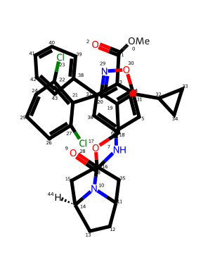 COC(=O)c1ccc(NC(=O)N2C3CC[C@H]2CC(OCc2c(-c4c(Cl)cccc4Cl)noc2C2CC2)C3)cc1-c1ccccc1